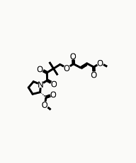 COC(=O)/C=C/C(=O)OCC(C)(C)C(=O)C(=O)N1CCC[C@H]1C(=O)OC